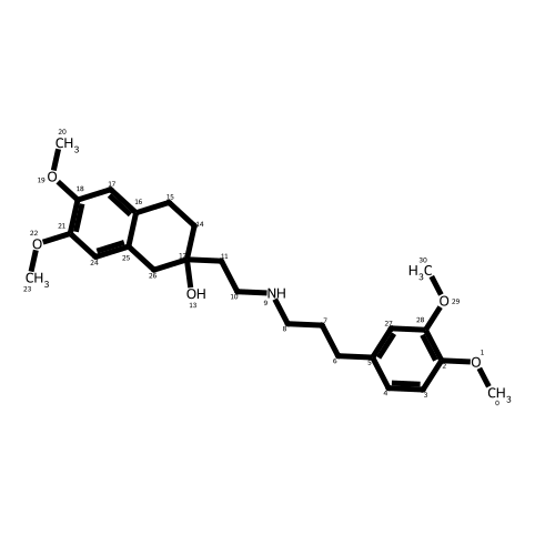 COc1ccc(CCCNCCC2(O)CCc3cc(OC)c(OC)cc3C2)cc1OC